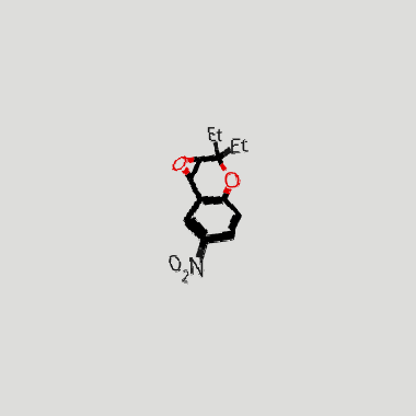 CCC1(CC)Oc2ccc([N+](=O)[O-])cc2C2OC21